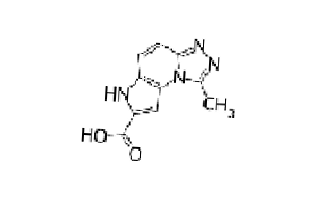 Cc1nnc2ccc3[nH]c(C(=O)O)cc3n12